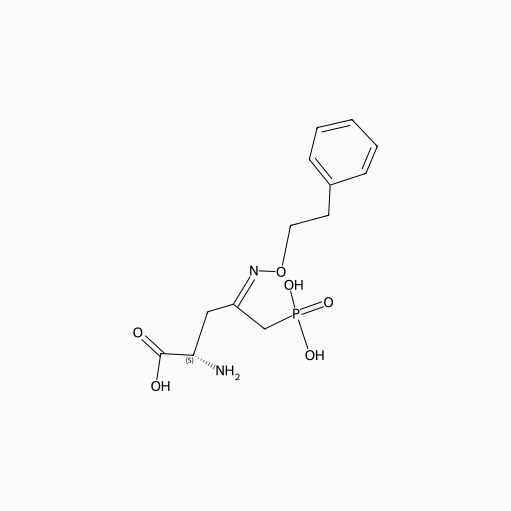 N[C@@H](CC(CP(=O)(O)O)=NOCCc1ccccc1)C(=O)O